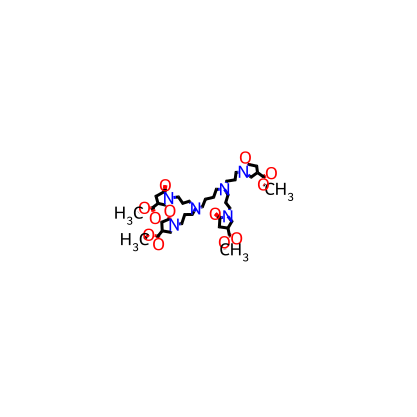 COC(=O)C1CC(=O)N(CCCN(CCCCN(CCCN2CC(C(=O)OC)CC2=O)CCCN2CC(C(=O)OC)CC2=O)CCCN2CC(C(=O)OC)CC2=O)C1